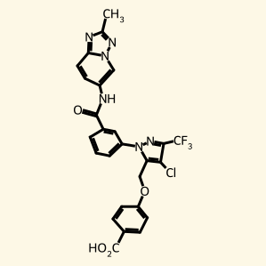 Cc1nc2ccc(NC(=O)c3cccc(-n4nc(C(F)(F)F)c(Cl)c4COc4ccc(C(=O)O)cc4)c3)cn2n1